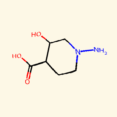 NN1CCC(C(=O)O)C(O)C1